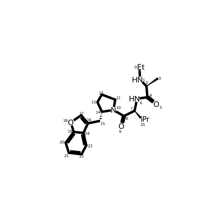 CCN[C@@H](C)C(=O)N[C@H](C(=O)N1CCC[C@H]1Cc1coc2ccccc12)C(C)C